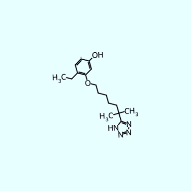 CCc1c[c]c(O)cc1OCCCCCC(C)(C)c1nnn[nH]1